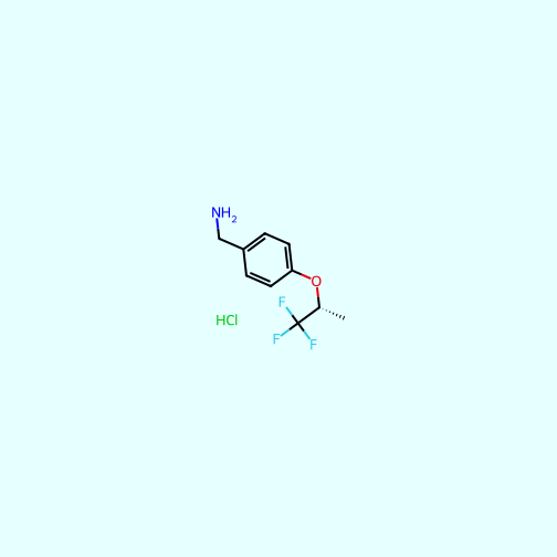 C[C@@H](Oc1ccc(CN)cc1)C(F)(F)F.Cl